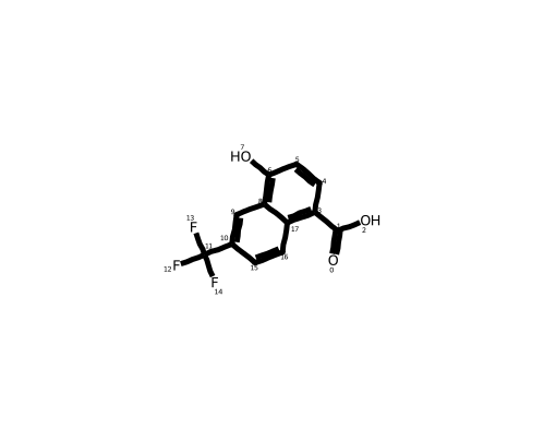 O=C(O)c1ccc(O)c2cc(C(F)(F)F)ccc12